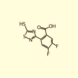 O=C(O)c1cc(F)c(F)cc1-c1nsc(S)n1